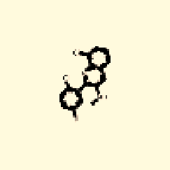 CNc1cc2cccc(Cl)c2nc1-c1cc(F)ccc1Cl